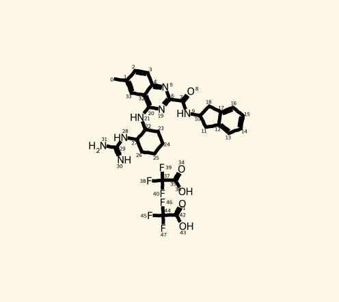 Cc1ccc2nc(C(=O)NC3Cc4ccccc4C3)nc(NC3CCCCC3NC(=N)N)c2c1.O=C(O)C(F)(F)F.O=C(O)C(F)(F)F